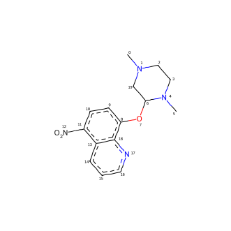 CN1CCN(C)C(Oc2ccc([N+](=O)[O-])c3cccnc23)C1